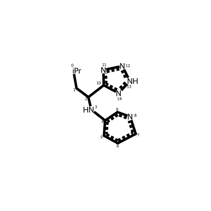 CC(C)CC(Nc1cccnc1)c1nn[nH]n1